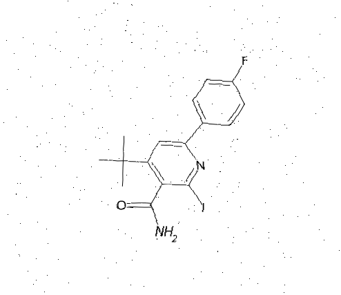 CC(C)(C)c1cc(-c2ccc(F)cc2)nc(I)c1C(N)=O